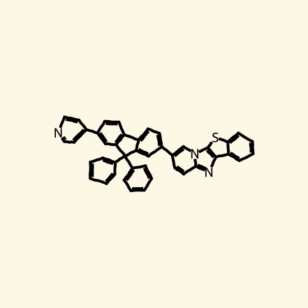 c1ccc(C2(c3ccccc3)c3cc(-c4ccncc4)ccc3-c3ccc(-c4ccc5nc6c7ccccc7sc6n5c4)cc32)cc1